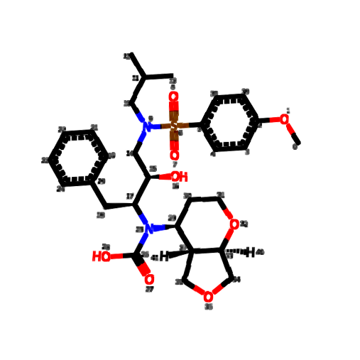 COc1ccc(S(=O)(=O)N(CC(C)C)C[C@@H](O)[C@H](Cc2ccccc2)N(C(=O)O)[C@H]2CCO[C@H]3COC[C@@H]32)cc1